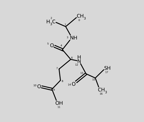 CC(C)NC(=O)C(CCC(=O)O)NC(=O)C(C)S